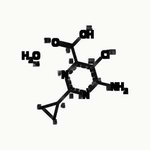 Nc1nc(C2CC2)nc(C(=O)O)c1Cl.O